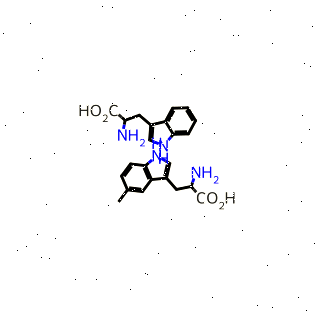 Cc1ccc2[nH]cc(CC(N)C(=O)O)c2c1.NC(Cc1c[nH]c2ccccc12)C(=O)O